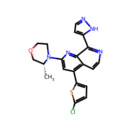 C[C@@H]1COCCN1c1cc(-c2ccc(Cl)s2)c2ccnc(-c3ccn[nH]3)c2n1